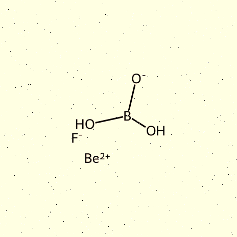 [Be+2].[F-].[O-]B(O)O